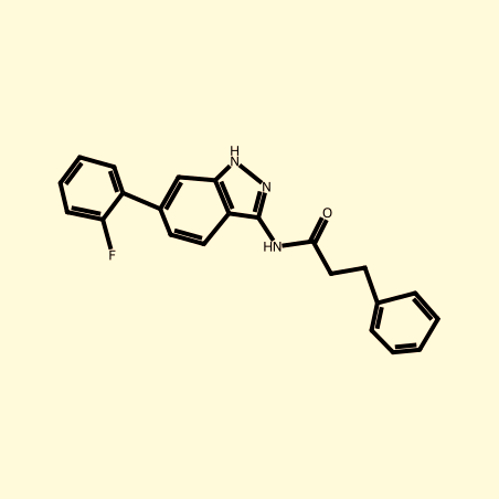 O=C(CCc1ccccc1)Nc1n[nH]c2cc(-c3ccccc3F)ccc12